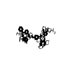 COc1ccc([C@H](Cc2c(Cl)c[n+]([O-])cc2Cl)OC(=O)c2ccc(COC(=O)c3cccc([C@@H](NC(=O)O[C@H]4CN5CCC4CC5)c4ccccc4)c3)cc2)cc1OC